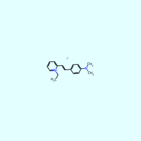 CC[n+]1ccccc1/C=C/c1ccc(N(C)C)cc1.[I-]